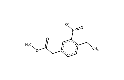 CCc1ccc(CC(=O)OC)cc1[N+](=O)[O-]